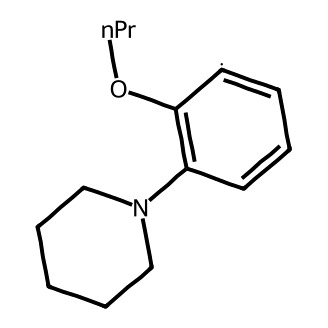 CCCOc1[c]cccc1N1CCCCC1